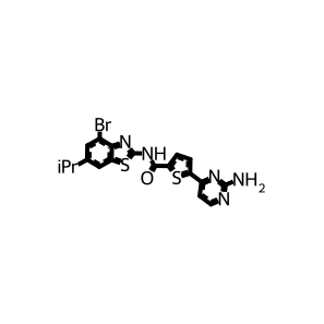 CC(C)c1cc(Br)c2nc(NC(=O)c3ccc(-c4ccnc(N)n4)s3)sc2c1